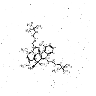 COc1cc(C)c2c(ccn2COCC[Si](C)(C)C)c1[C@@](C)(C#N)c1nc2c(Br)cccc2n1COCC[Si](C)(C)C